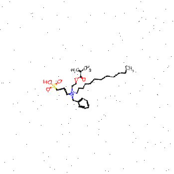 C=C(C)C(=O)OCC[N+](CCCCCCCCCCCC)(CCCS(=O)(=O)O)Cc1ccccc1